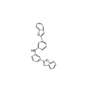 c1cc(Nc2cccc(-c3cc4ccccc4o3)c2)cc(-c2cc3ccccc3o2)c1